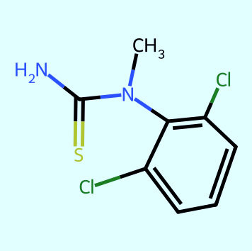 CN(C(N)=S)c1c(Cl)cccc1Cl